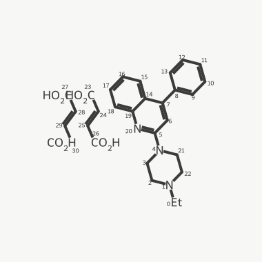 CCN1CCN(c2cc(-c3ccccc3)c3ccccc3n2)CC1.O=C(O)C=CC(=O)O.O=C(O)C=CC(=O)O